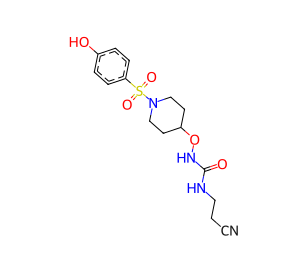 N#CCCNC(=O)NOC1CCN(S(=O)(=O)c2ccc(O)cc2)CC1